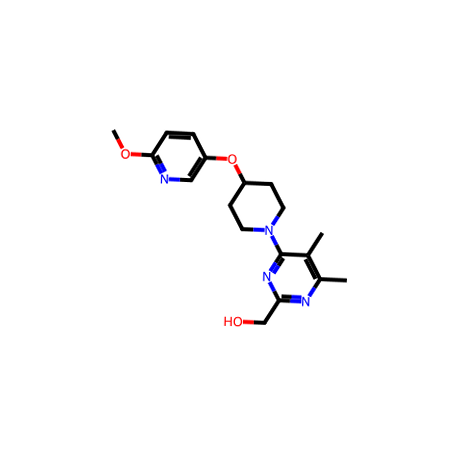 COc1ccc(OC2CCN(c3nc(CO)nc(C)c3C)CC2)cn1